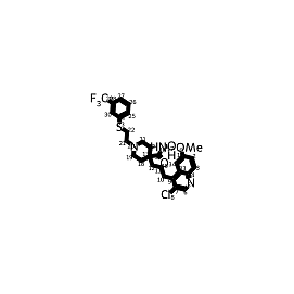 COc1ccc2ncc(Cl)c(CCCC3(C(=O)NO)CCN(CCSc4cccc(C(F)(F)F)c4)CC3)c2c1